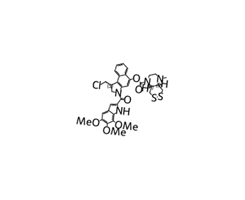 COc1cc2cc(C(=O)N3C[C@@H](CCl)c4c3cc(OC(=O)N3CCN(C)[C@@H]5CSSC[C@@H]53)c3ccccc43)[nH]c2c(OC)c1OC